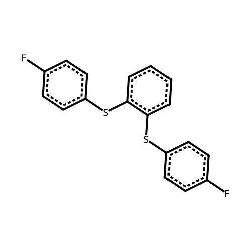 Fc1ccc(Sc2ccccc2Sc2ccc(F)cc2)cc1